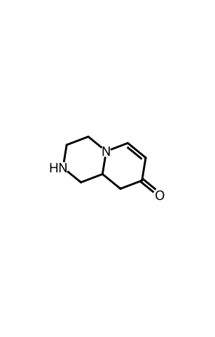 O=C1C=CN2CCNCC2C1